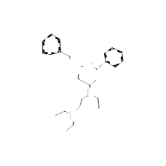 CCP(CC)CCP(CC)C(C)CP(OCc1ccccc1)OCc1ccccc1